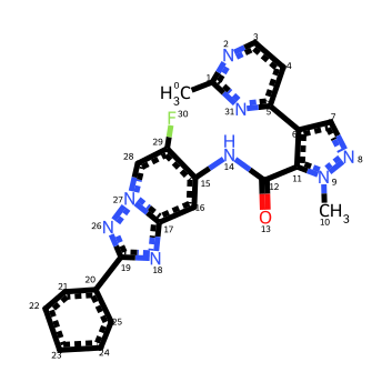 Cc1nccc(-c2cnn(C)c2C(=O)Nc2cc3nc(-c4ccccc4)nn3cc2F)n1